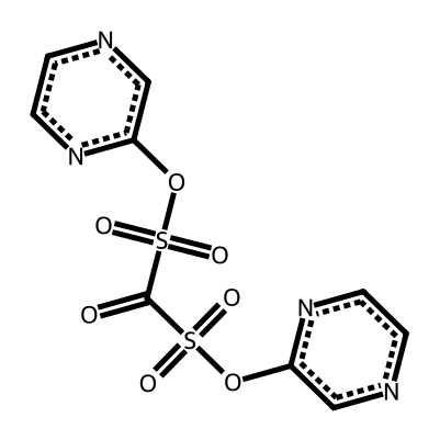 O=C(S(=O)(=O)Oc1cnccn1)S(=O)(=O)Oc1cnccn1